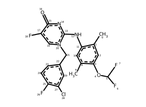 Cc1cc(OC(F)F)c(C)cc1Nc1nc(=O)c(F)cn1Cc1ccc(F)c(Cl)c1